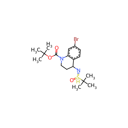 CC(C)(C)OC(=O)N1CCC(/N=[SH](=O)/C(C)(C)C)c2ccc(Br)cc21